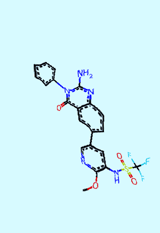 COc1ncc(-c2ccc3nc(N)n(-c4ccccc4)c(=O)c3c2)cc1NS(=O)(=O)C(F)(F)F